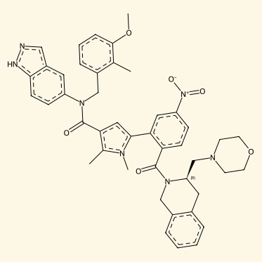 COc1cccc(CN(C(=O)c2cc(-c3cc([N+](=O)[O-])ccc3C(=O)N3Cc4ccccc4C[C@@H]3CN3CCOCC3)n(C)c2C)c2ccc3[nH]ncc3c2)c1C